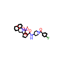 COC(=O)C1=C(C(=O)NC2CCN(C(=O)c3ccc(F)cc3)CC2)C2C=CC1(C(Cc1ccccc1)Nc1ccccc1)O2